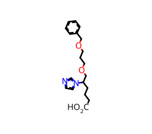 O=C(O)CCCC(COCCCOCc1ccccc1)n1ccnc1